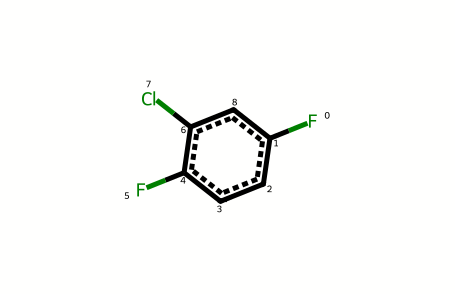 Fc1c[c]c(F)c(Cl)c1